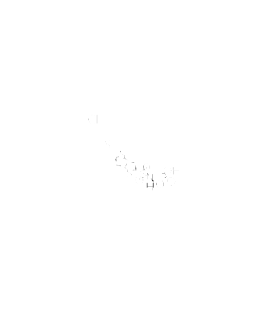 O=P(O)(O)CNS(=O)(=O)c1cc2sc(CSCCCCl)cc2s1